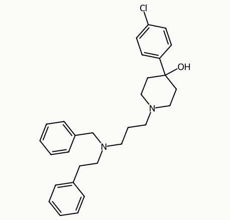 OC1(c2ccc(Cl)cc2)CCN(CCCN(CCc2ccccc2)Cc2ccccc2)CC1